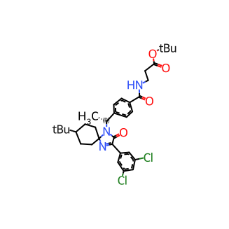 C[C@H](c1ccc(C(=O)NCCC(=O)OC(C)(C)C)cc1)N1C(=O)C(c2cc(Cl)cc(Cl)c2)=NC12CCC(C(C)(C)C)CC2